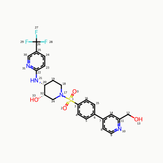 O=S(=O)(c1ccc(-c2ccnc(CO)c2)cc1)N1CC[C@@H](Nc2ccc(C(F)(F)F)cn2)[C@@H](O)C1